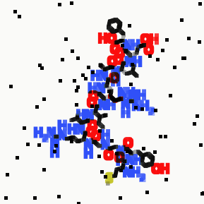 CC[C@H](C)[C@H](NC(=O)[C@@H](NC(=O)[C@H](CCCNC(=N)N)NC(=O)CNC(=O)CNC(=O)[C@H](Cc1ccc(O)cc1)NC(=O)[C@@H](N)CCSC)C(C)C)C(=O)N[C@@H](CCCNC(=N)N)C(=O)N[C@@H](CCCCN)C(=O)N[C@@H](C)C(=O)N[C@@H](CC(C)C)C(=O)N[C@@H](CCC(=O)O)C(=O)N[C@@H](Cc1ccccc1)C(=O)O